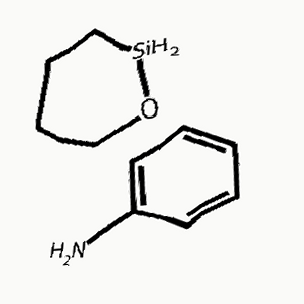 C1CC[SiH2]OC1.Nc1ccccc1